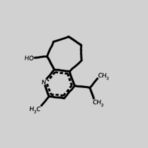 Cc1cc(C(C)C)c2c(n1)C(O)CCCC2